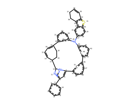 CN1C2=CC(c3ccccc3)=NC1C1C=CC=C(CC1)c1cccc(c1)N(c1ccc3sc4c(c3c1)CCC=C4)c1cccc(c1)-c1cccc2c1